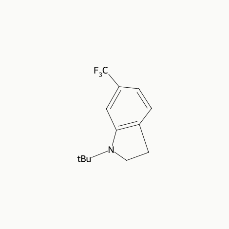 CC(C)(C)N1CCc2ccc(C(F)(F)F)cc21